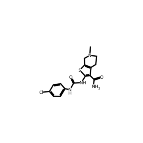 CN1CCc2c(sc(NC(=O)Nc3ccc(Cl)cc3)c2C(N)=O)C1